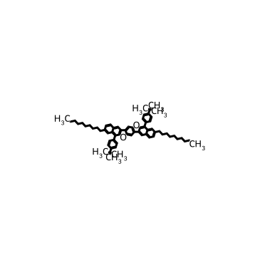 CCCCCCCCCCc1ccc2cc3c(oc4cc5c(cc43)oc3c(-c4ccc(C(C)(C)C)cc4)c4cc(CCCCCCCCCC)ccc4cc35)c(-c3ccc(C(C)(C)C)cc3)c2c1